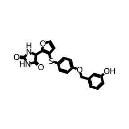 O=C1NC(=O)C(c2occc2Sc2ccc(OCc3cccc(O)c3)cc2)N1